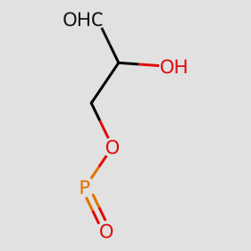 O=CC(O)COP=O